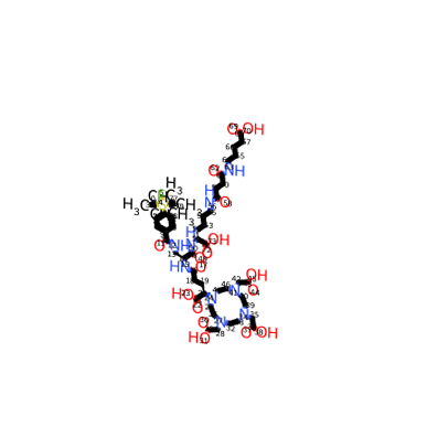 CC(C)(C)S(F)(c1ccc(C(=O)NC[C@H](NC(=O)CC[C@H](C(=O)O)N2CCN(CC(=O)O)CCN(CC(=O)O)CCN(CC(=O)O)CC2)C(=O)N[C@H](CCCCNC(=O)CCC(=O)NCCCCC(=O)O)C(=O)O)cc1)C(C)(C)C